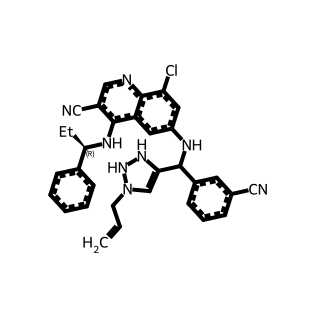 C=CCN1C=C(C(Nc2cc(Cl)c3ncc(C#N)c(N[C@H](CC)c4ccccc4)c3c2)c2cccc(C#N)c2)NN1